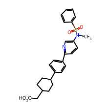 O=C(O)CC1CCC(c2ccc(-c3ccc(N(C(F)(F)F)S(=O)(=O)c4ccccc4)cn3)cc2)CC1